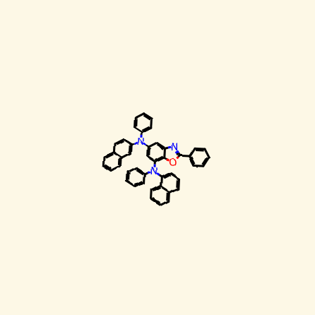 c1ccc(-c2nc3cc(N(c4ccccc4)c4ccc5ccccc5c4)cc(N(c4ccccc4)c4cccc5ccccc45)c3o2)cc1